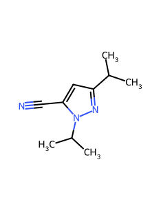 CC(C)c1cc(C#N)n(C(C)C)n1